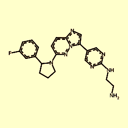 NCCNc1ncc(-c2cnc3ccc(N4CCCC4c4cccc(F)c4)nn23)cn1